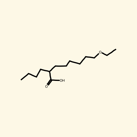 CCCCC(CCCCCCOCC)C(=O)O